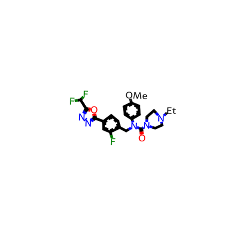 CCN1CCN(C(=O)N(Cc2ccc(-c3nnc(C(F)F)o3)cc2F)c2ccc(OC)cc2)CC1